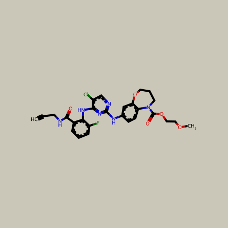 C#CCNC(=O)c1cccc(F)c1Nc1nc(Nc2ccc3c(c2)OCCCN3C(=O)OCCOC)ncc1Cl